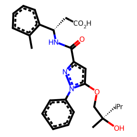 Cc1ccccc1[C@H](CC(=O)O)NC(=O)c1cc(OC[C@](C)(O)C(C)C)n(-c2ccccc2)n1